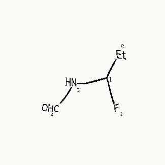 CCC(F)NC=O